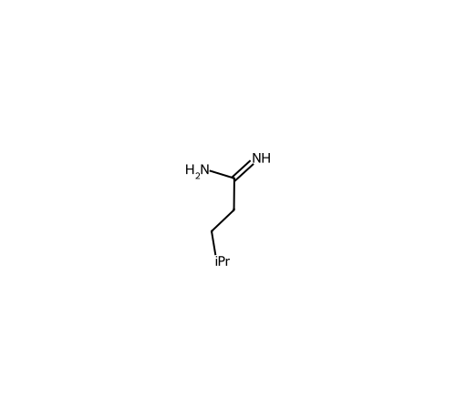 CC(C)CCC(=N)N